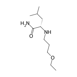 CCOCCCN[C@@H](CC(C)C)C(N)=O